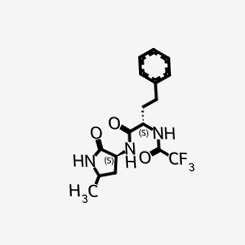 CC1C[C@H](NC(=O)[C@H](CCc2ccccc2)NC(=O)C(F)(F)F)C(=O)N1